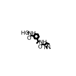 CC(NC(=O)c1ccn(C)n1)c1cccc(C(=O)NO)c1